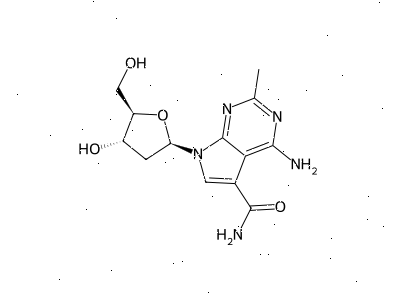 Cc1nc(N)c2c(C(N)=O)cn([C@H]3C[C@H](O)[C@@H](CO)O3)c2n1